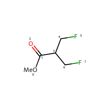 COC(=O)C(CF)CF